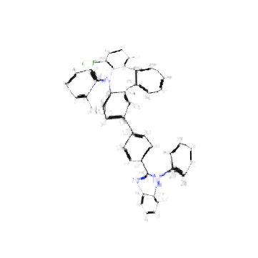 O=[N+]([O-])c1ccccc1N1c2ccc(-c3ccc(-c4nc5ccccc5n4-c4ccccc4)cc3)cc2-c2ccccc2-c2cccc(Cl)c21